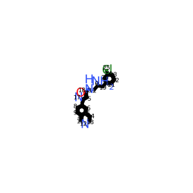 NC(CNc1cc(-c2ccc3cnccc3c2)no1)Cc1cccc(Cl)c1